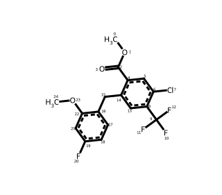 COC(=O)c1cc(Cl)c(C(F)(F)F)cc1Cc1ccc(F)cc1OC